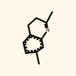 CC1=Nc2cc(C)ccc2CC1